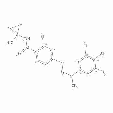 CC1(NC(=O)c2ccc(/C=C/C(c3cc(Cl)c(Cl)c(Cl)c3)C(F)(F)F)cc2Cl)CC1